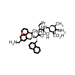 CC(C)C[C@H](NC(=O)[C@H](Cc1cccc2ccccc12)N(Cc1cccc(CN)c1)C(=O)c1cccnc1)C(=O)N[C@@H](CC(C)C(N)=O)[C@@H](O)CC(=O)O